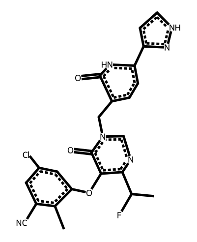 Cc1c(C#N)cc(Cl)cc1Oc1c(C(C)F)ncn(Cc2ccc(-c3cc[nH]n3)[nH]c2=O)c1=O